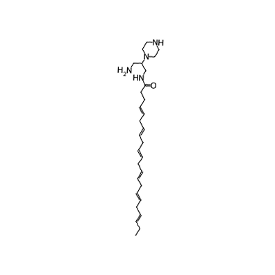 CCC=CCC=CCC=CCC=CCC=CCC=CCCC(=O)NCC(CN)N1CCNCC1